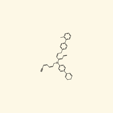 C#C/C=C\C=C/CN(C(/C=C\Cc1ccc(-c2ccccc2C)cc1)=C/C=C)c1ccc(C2=CCCC=C2)cc1